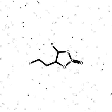 O=S1OC(F)C(CCF)O1